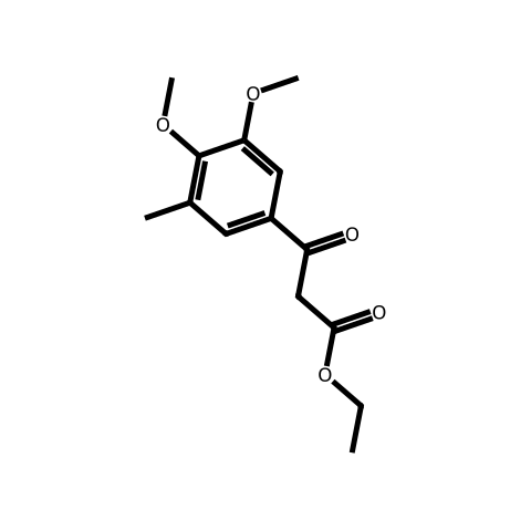 CCOC(=O)CC(=O)c1cc(C)c(OC)c(OC)c1